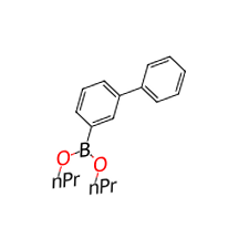 CCCOB(OCCC)c1cccc(-c2ccccc2)c1